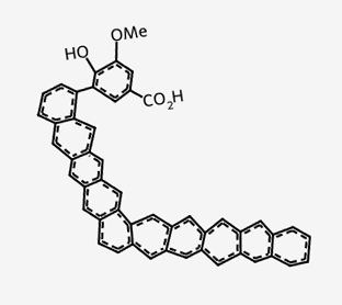 COc1cc(C(=O)O)cc(-c2cccc3cc4cc5cc6ccc7cc8cc9cc%10cc%11ccccc%11cc%10cc9cc8cc7c6cc5cc4cc23)c1O